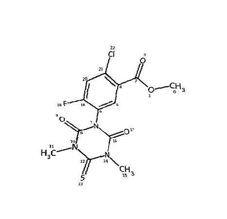 COC(=O)c1cc(-n2c(=O)n(C)c(=S)n(C)c2=O)c(F)cc1Cl